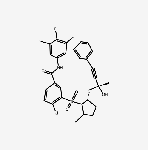 CC1CC[C@@H](C[C@@](C)(O)C#Cc2ccccc2)C1S(=O)(=O)c1cc(C(=O)Nc2cc(F)c(F)c(F)c2)ccc1Cl